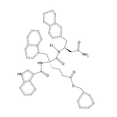 CCN(C(=O)[C@](CCCC(=O)OCc1ccccc1)(Cc1cccc2ccccc12)NC(=O)c1c[nH]c2ccccc12)[C@H](CC(N)=O)Cc1ccc2ccccc2c1